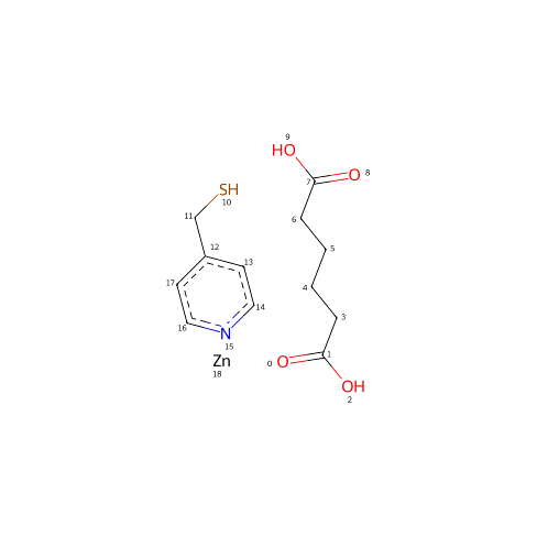 O=C(O)CCCCC(=O)O.SCc1ccncc1.[Zn]